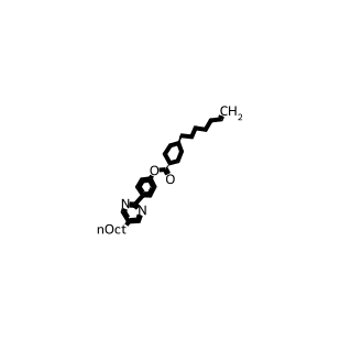 C=CCCCCC[C@H]1CC[C@H](C(=O)Oc2ccc(-c3ncc(CCCCCCCC)cn3)cc2)CC1